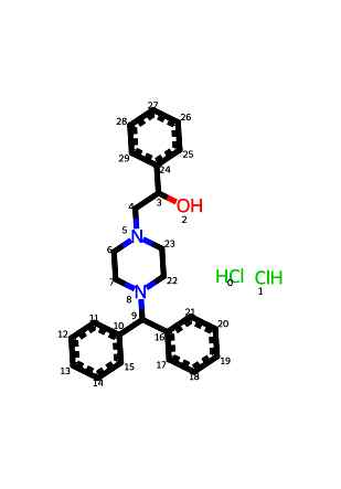 Cl.Cl.OC(CN1CCN(C(c2ccccc2)c2ccccc2)CC1)c1ccccc1